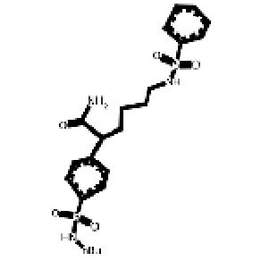 CCCCNS(=O)(=O)c1ccc(C(CCCCNS(=O)(=O)c2ccccc2)C(N)=O)cc1